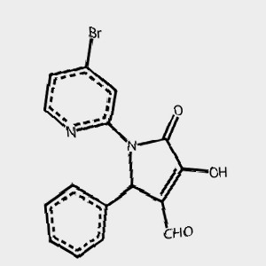 O=CC1=C(O)C(=O)N(c2cc(Br)ccn2)C1c1ccccc1